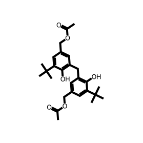 CC(=O)OCc1cc(Cc2cc(COC(C)=O)cc(C(C)(C)C)c2O)c(O)c(C(C)(C)C)c1